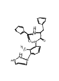 Cc1c(NC(=O)C(Cc2ccccc2)NC(=O)c2ccccc2)cccc1N1C=CNN1